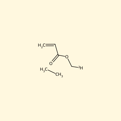 CC.[2H]COC(=O)C=C